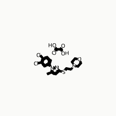 Cc1cc(SCCN2CCOCC2)nn1-c1ccc(Cl)c(Cl)c1.O=C(O)C(=O)O